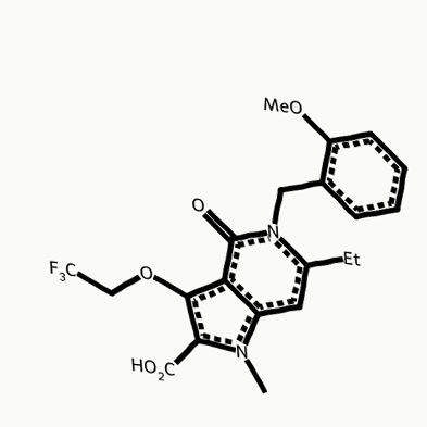 CCc1cc2c(c(OCC(F)(F)F)c(C(=O)O)n2C)c(=O)n1Cc1ccccc1OC